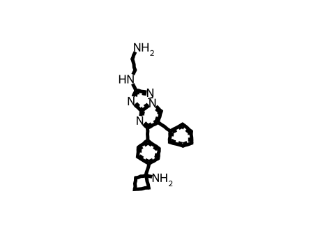 NCCNc1nc2nc(-c3ccc(C4(N)CCC4)cc3)c(-c3ccccc3)cn2n1